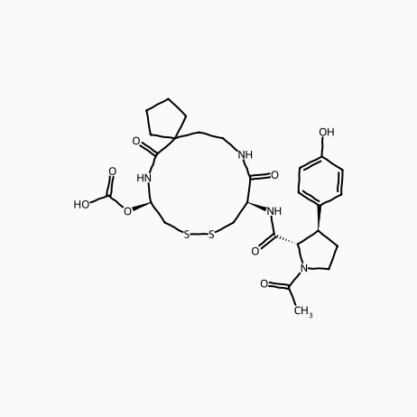 CC(=O)N1CC[C@H](c2ccc(O)cc2)[C@H]1C(=O)N[C@H]1CSSC[C@@H](OC(=O)O)NC(=O)C2(CCCC2)CCNC1=O